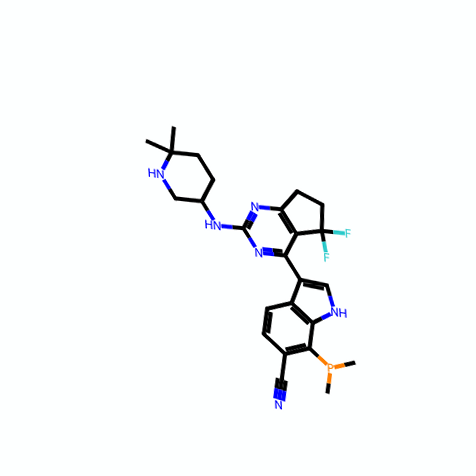 CP(C)c1c(C#N)ccc2c(-c3nc(NC4CCC(C)(C)NC4)nc4c3C(F)(F)CC4)c[nH]c12